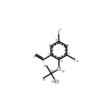 C=Cc1cc(I)cc(I)c1OC(C)(C)CC